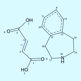 O=C(O)/C=C/C(=O)O.c1ccc2c(c1)CCNCC2